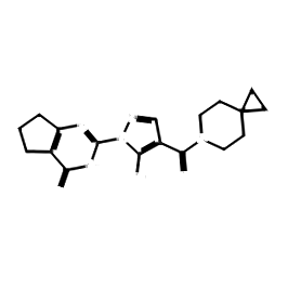 Cc1c(C(=O)N2CCC3(CC2)CC3)cnn1-c1nc2c(c(=O)[nH]1)CCC2